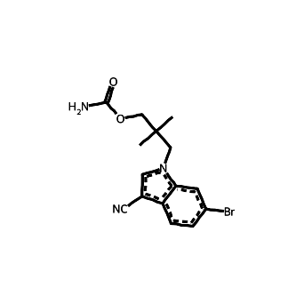 CC(C)(COC(N)=O)Cn1cc(C#N)c2ccc(Br)cc21